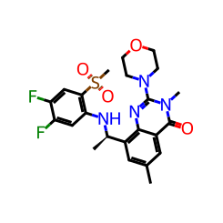 Cc1cc([C@@H](C)Nc2cc(F)c(F)cc2S(C)(=O)=O)c2nc(N3CCOCC3)n(C)c(=O)c2c1